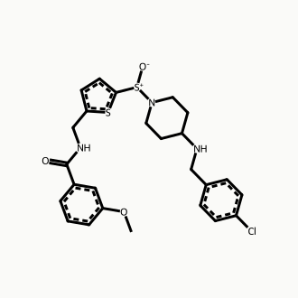 COc1cccc(C(=O)NCc2ccc([S+]([O-])N3CCC(NCc4ccc(Cl)cc4)CC3)s2)c1